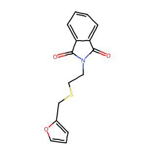 O=C1c2ccccc2C(=O)N1CCSCc1ccco1